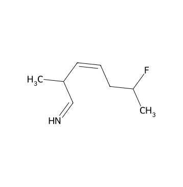 CC(C=N)/C=C\CC(C)F